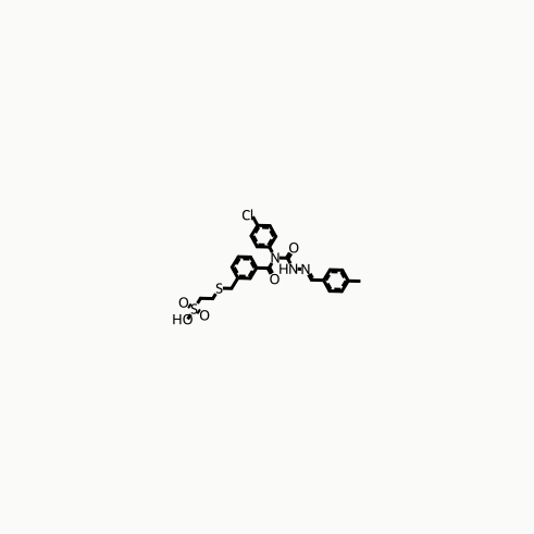 Cc1ccc(C=NNC(=O)N(C(=O)c2cccc(CSCCS(=O)(=O)O)c2)c2ccc(Cl)cc2)cc1